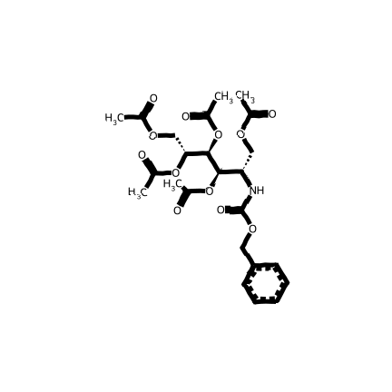 CC(=O)OC[C@H](NC(=O)OCc1ccccc1)[C@@H](OC(C)=O)[C@H](OC(C)=O)[C@@H](COC(C)=O)OC(C)=O